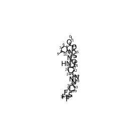 CCOC(C)c1ccc(C)cc1N1C(=O)CS/C1=N\C(=O)Nc1ccc(-c2ncn(-c3ccc(SC(F)(F)F)cc3)n2)cc1F